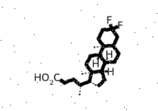 C[C@H](CCC(=O)O)[C@H]1CC[C@H]2[C@@H]3CCC4CC(F)(F)CC[C@]4(C)[C@H]3CC[C@]12C